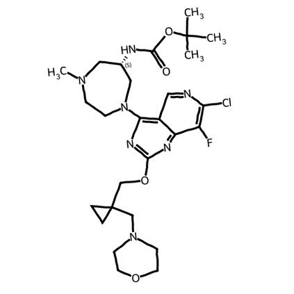 CN1CCN(c2nc(OCC3(CN4CCOCC4)CC3)nc3c(F)c(Cl)ncc23)C[C@@H](NC(=O)OC(C)(C)C)C1